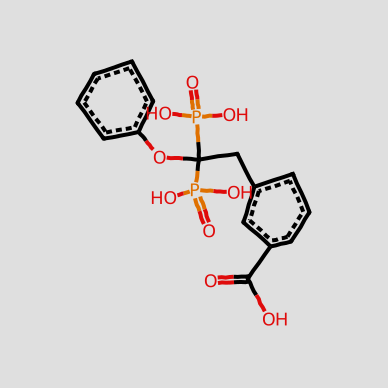 O=C(O)c1cccc(CC(Oc2ccccc2)(P(=O)(O)O)P(=O)(O)O)c1